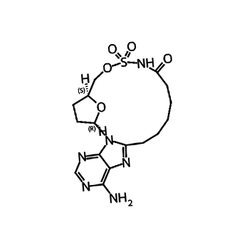 Nc1ncnc2c1nc1n2[C@H]2CC[C@@H](COS(=O)(=O)NC(=O)CCCCC1)O2